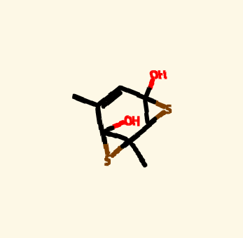 CC1=CC2(O)SC2C2(C)SC12O